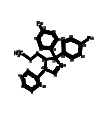 CCCC1N(c2cnccn2)C=NC1(c1ccc(F)cc1)c1ccc(F)cc1